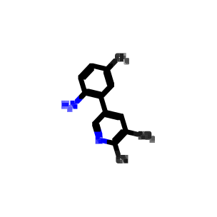 N#Cc1ncc(-c2cc(C(F)(F)F)ccc2N)cc1[N+](=O)[O-]